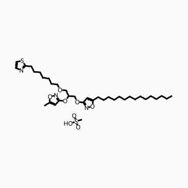 CCCCCCCCCCCCCCCc1cc(OCC(COCCCCCCCc2nccs2)Oc2cc(C)on2)no1.CS(=O)(=O)O